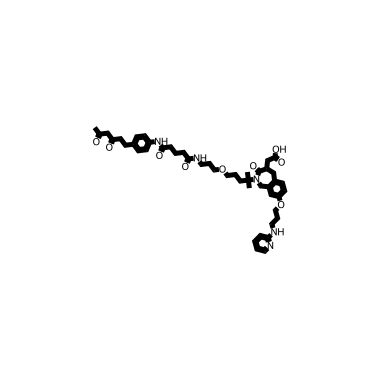 CC(=O)CC(=O)CCc1ccc(NC(=O)CCCC(=O)NCCCOCCCC(C)(C)N2Cc3cc(OCCCNc4ccccn4)ccc3CC(CC(=O)O)C2=O)cc1